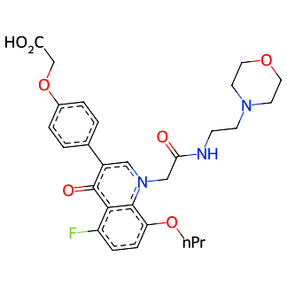 CCCOc1ccc(F)c2c(=O)c(-c3ccc(OCC(=O)O)cc3)cn(CC(=O)NCCN3CCOCC3)c12